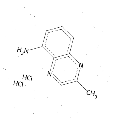 Cc1cnc2c(N)cccc2n1.Cl.Cl